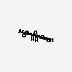 CC(=O)C(=O)OCCNC(=O)NCCOCCO